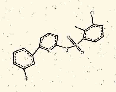 Cc1c(Cl)cccc1S(=O)(=O)Nc1cccc(-c2cccc(F)c2)n1